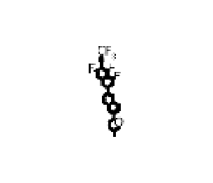 CC1CCC(c2ccc3cc(-c4cc(F)c5c(F)c(C#CC(F)(F)F)c(F)cc5c4)ccc3c2)OC1